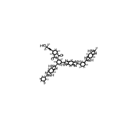 Cc1cccc(-c2nc3cc4[nH]c(-c5cc(-c6nc7cc8[nH]c(-c9cccc(-c%10nc%11cc%12[nH]c(C)nc%12cc%11[nH]%10)c9)nc8cc7[nH]6)cc(N6C(=O)c7ccc(C#CC(C)(C)O)cc7C6=O)c5)nc4cc3[nH]2)c1